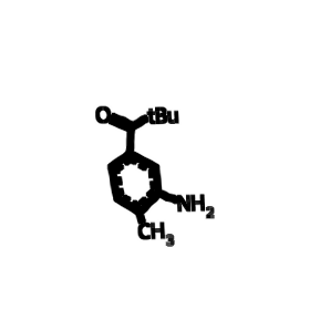 Cc1ccc(C(=O)C(C)(C)C)cc1N